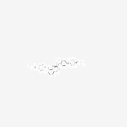 COC1CCC(Sc2cccc3cnc(Nc4ccc(N5CCN(C)CC5)cc4)nc23)CC1